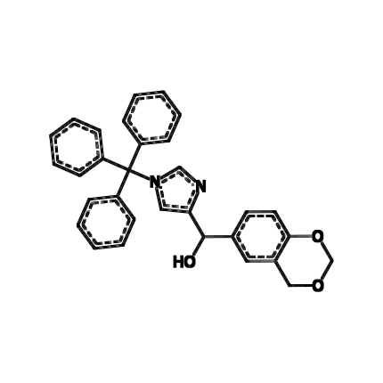 OC(c1ccc2c(c1)COCO2)c1cn(C(c2ccccc2)(c2ccccc2)c2ccccc2)cn1